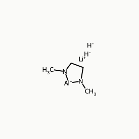 C[N]1CC[N](C)[Al+]1.[H-].[H-].[Li+]